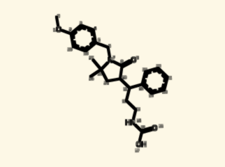 COc1ccc(CN2C(=O)C(C(CCNC(=O)O)c3ccccc3)CC2(C)C)cc1